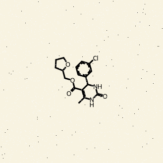 CC1=C(C(=O)OCC2CCCO2)C(c2cccc(Cl)c2)NC(=O)N1